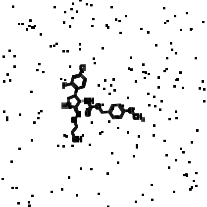 COc1ccc(COC(=O)N[C@@H]2/C(=N/OCCO)NC[C@H]2c2ccc(Cl)cc2F)cc1